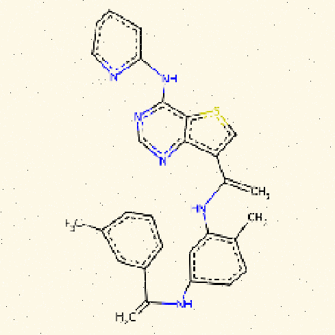 C=C(Nc1ccc(C)c(NC(=C)c2csc3c(Nc4ccccn4)ncnc23)c1)c1cccc(C(F)(F)F)c1